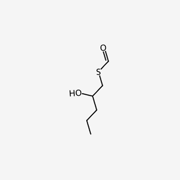 CCCC(O)CSC=O